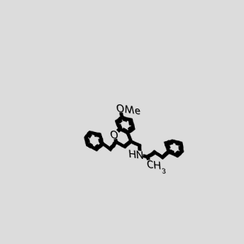 COc1ccc2c(c1)OC(Cc1ccccc1)CC2CNC(C)CCc1ccccc1